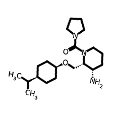 CC(C)[C@H]1CC[C@@H](OC[C@H]2[C@@H](N)CCCN2C(=O)N2CCCC2)CC1